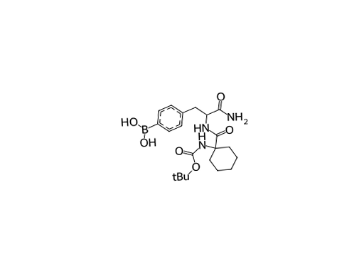 CC(C)(C)OC(=O)NC1(C(=O)NC(Cc2ccc(B(O)O)cc2)C(N)=O)CCCCC1